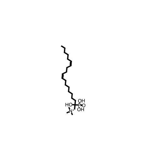 CCCCC/C=C\CC/C=C\CCCCCCCC(O)(C[N+](C)(C)C)P(=O)(O)O